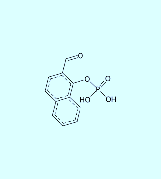 O=Cc1ccc2ccccc2c1OP(=O)(O)O